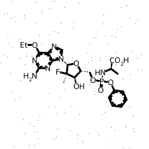 CCOc1nc(N)nc2c1ncn2[C@@H]1O[C@H](CO[P@@](=O)(N[C@H](C)C(=O)O)Oc2ccccc2)[C@@H](O)[C@@]1(C)F